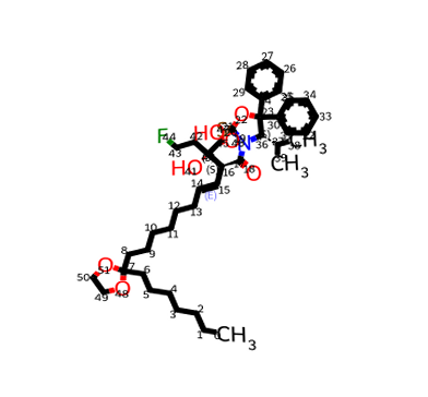 CCCCCCCC1(CCCCCC/C=C/[C@H](C(=O)N2C(=S)OC(c3ccccc3)(c3ccccc3)[C@@H]2C(C)C)[C@@](O)(CCF)C(=O)O)OCCO1